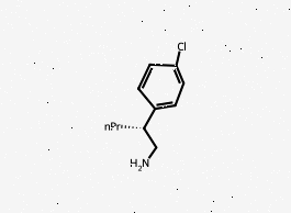 CCC[C@@H](CN)c1ccc(Cl)cc1